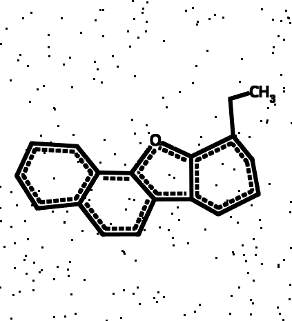 CCc1cccc2c1oc1c3ccccc3ccc21